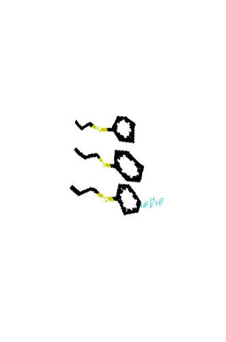 CCCSc1ccccc1.CCCSc1ccccc1.CCCSc1ccccc1.F.F.F